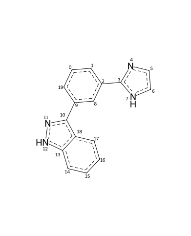 c1cc(-c2ncc[nH]2)cc(-c2n[nH]c3ccccc23)c1